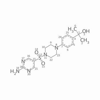 CC(C)(O)c1ccc(N2CCN(S(=O)(=O)c3cnc(N)nc3)CC2)cc1